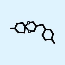 CC1CCC(CC2COC3(CCC(C)CC3)OC2)CC1